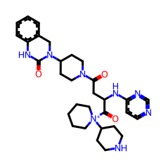 O=C(CC(Nc1ccncn1)C(=O)[N+]1(C2CCNCC2)CCCCC1)N1CCC(N2Cc3ccccc3NC2=O)CC1